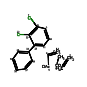 C=C.C=COC(C)=O.CC(=O)O.Clc1cccc(-c2ccccc2)c1Cl